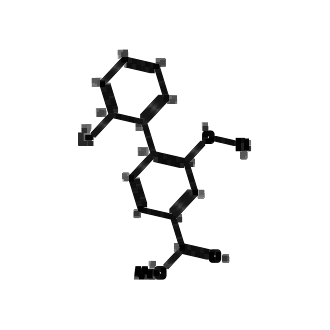 CCOc1cc(C(=O)OC)ccc1-c1ccccc1CC